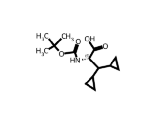 CC(C)(C)OC(=O)N[C@H](C(=O)O)C(C1CC1)C1CC1